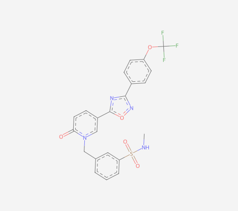 CNS(=O)(=O)c1cccc(Cn2cc(-c3nc(-c4ccc(OC(F)(F)F)cc4)no3)ccc2=O)c1